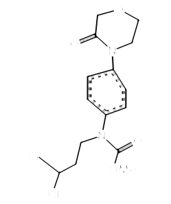 COC(=O)N(CCC(O)Cl)c1ccc(N2CCOCC2=O)cc1